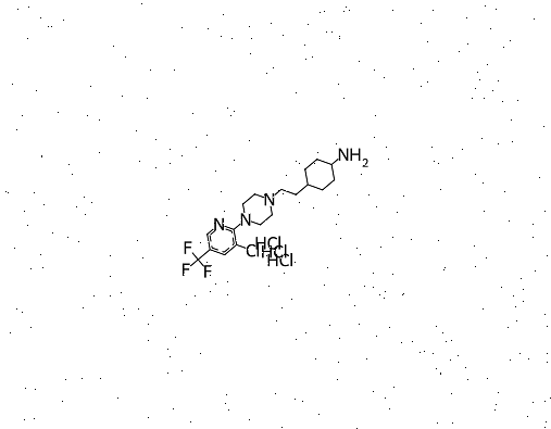 Cl.Cl.Cl.NC1CCC(CCN2CCN(c3ncc(C(F)(F)F)cc3Cl)CC2)CC1